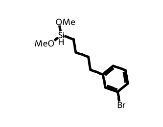 CO[SiH](CCCCc1cccc(Br)c1)OC